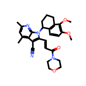 COc1ccc2c(c1OC)CCCC2n1c(C=CC(=O)N2CCOCC2)c(C#N)c2c(C)cc(C)nc21